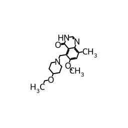 CCOC1CCN(Cc2c(OC)cc(C)c3nc[nH]c(=O)c23)CC1